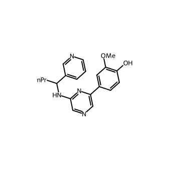 CCCC(Nc1cncc(-c2ccc(O)c(OC)c2)n1)c1cccnc1